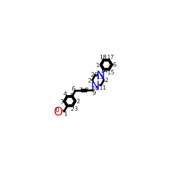 O=Cc1ccc(CC#CCN2CCN(c3ccccc3)CC2)cc1